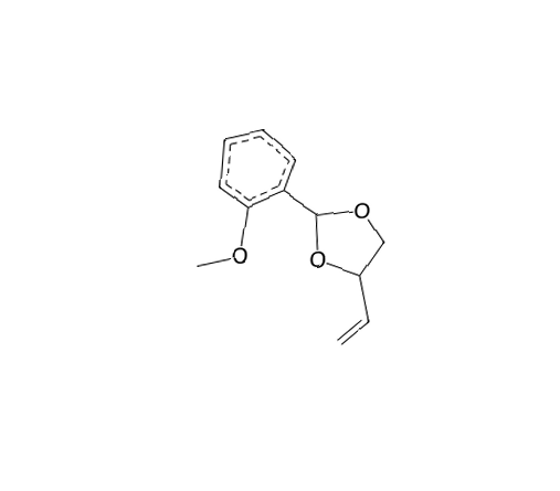 C=CC1COC(c2ccccc2OC)O1